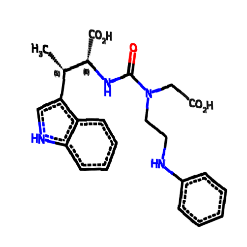 C[C@@H](c1c[nH]c2ccccc12)[C@@H](NC(=O)N(CCNc1ccccc1)CC(=O)O)C(=O)O